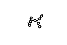 c1ccc(-c2ccc(N(c3ccc(-c4ccccc4)cc3)c3ccc(-n4c5ccccc5c5cc6sc7ccccc7c6cc54)cc3)cc2)cc1